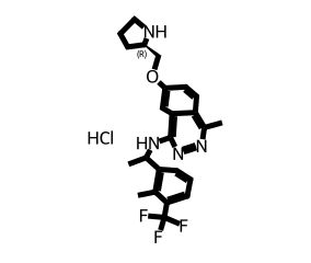 Cc1c(C(C)Nc2nnc(C)c3ccc(OC[C@H]4CCCN4)cc23)cccc1C(F)(F)F.Cl